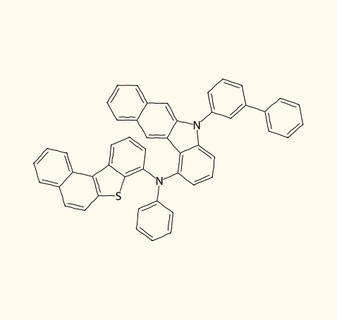 c1ccc(-c2cccc(-n3c4cc5ccccc5cc4c4c(N(c5ccccc5)c5cccc6c5sc5ccc7ccccc7c56)cccc43)c2)cc1